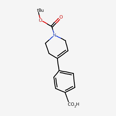 CC(C)(C)OC(=O)N1CC=C(c2ccc(C(=O)O)cc2)CC1